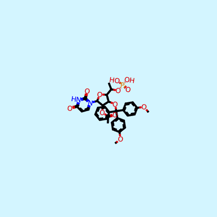 COc1ccc(C(OC2C(C(C)OP(=O)(O)O)OC(n3ccc(=O)[nH]c3=O)C2OC(C)=O)(c2ccccc2)c2ccc(OC)cc2)cc1